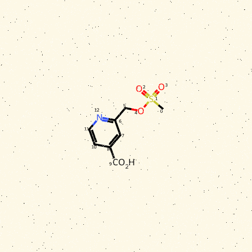 CS(=O)(=O)OCc1cc(C(=O)O)ccn1